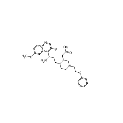 COc1ccc2ncc(F)c([C@@H](N)CC[C@@H]3CCN(CCSc4ccccc4)C[C@@H]3CC(=O)O)c2c1